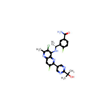 Cc1nc2cc(F)c(-c3cnc(C(C)(C)O)nc3)nc2c(N[C@H](C)c2cc(C(N)=O)ccc2F)c1Cl